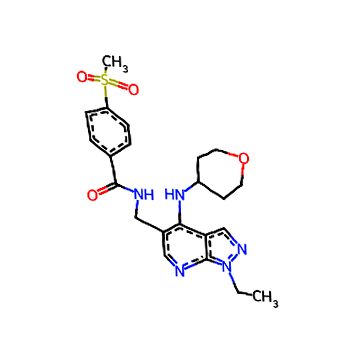 CCn1ncc2c(NC3CCOCC3)c(CNC(=O)c3ccc(S(C)(=O)=O)cc3)cnc21